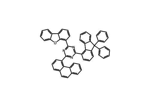 c1ccc(C2(c3ccccc3)c3ccccc3-c3c(-c4nc(-c5cccc6c5oc5ccccc56)nc(-c5cccc6ccc7ccccc7c56)n4)cccc32)cc1